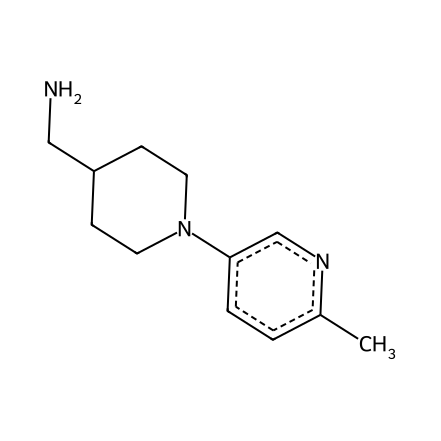 Cc1ccc(N2CCC(CN)CC2)cn1